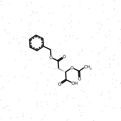 CC(=O)O[C@@H](CC(=O)OCc1ccccc1)C(=O)O